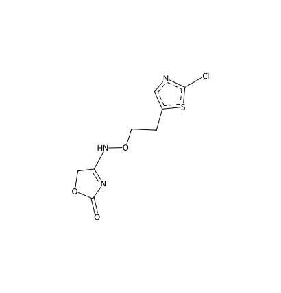 O=C1N=C(NOCCc2cnc(Cl)s2)CO1